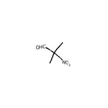 CC(C)(C=O)[N+](=O)[O-]